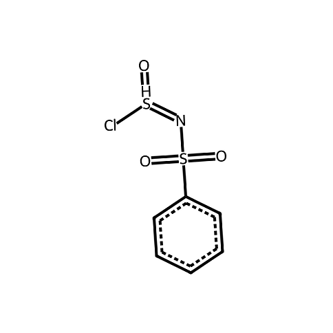 O=[SH](/Cl)=N/S(=O)(=O)c1ccccc1